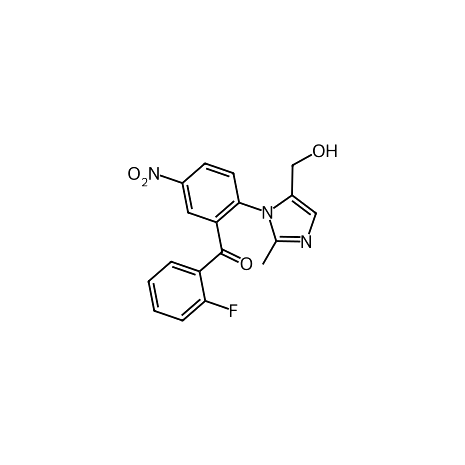 Cc1ncc(CO)n1-c1ccc([N+](=O)[O-])cc1C(=O)c1ccccc1F